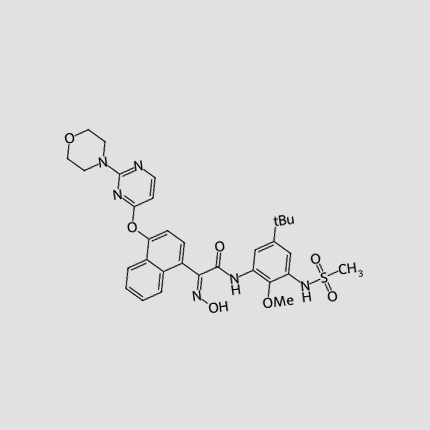 COc1c(NC(=O)C(=NO)c2ccc(Oc3ccnc(N4CCOCC4)n3)c3ccccc23)cc(C(C)(C)C)cc1NS(C)(=O)=O